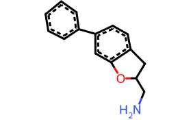 NCC1Cc2ccc(-c3ccccc3)cc2O1